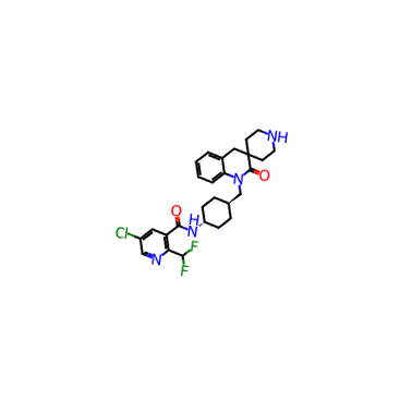 O=C(N[C@H]1CC[C@H](CN2C(=O)C3(CCNCC3)Cc3ccccc32)CC1)c1cc(Cl)cnc1C(F)F